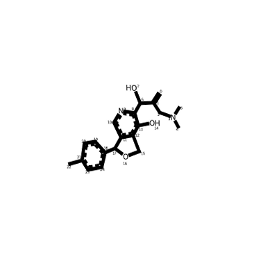 C=C(CN(C)C)C(O)c1ncc2c(c1O)COC2c1ccc(C)cc1